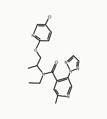 CCN(C(=O)c1cc(C)ncc1-n1nccn1)C(C)COc1ccc(Cl)cn1